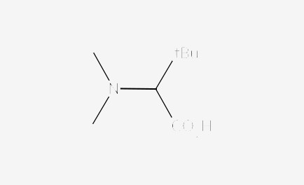 CN(C)C(C(=O)O)C(C)(C)C